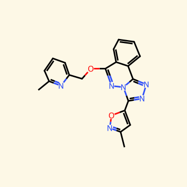 Cc1cc(-c2nnc3c4ccccc4c(OCc4cccc(C)n4)nn23)on1